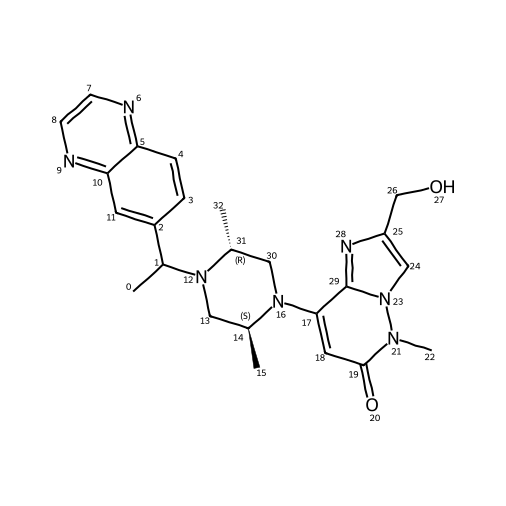 CC(c1ccc2nccnc2c1)N1C[C@H](C)N(c2cc(=O)n(C)n3cc(CO)nc23)C[C@H]1C